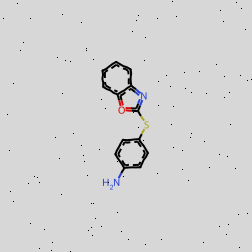 Nc1ccc(Sc2nc3ccccc3o2)cc1